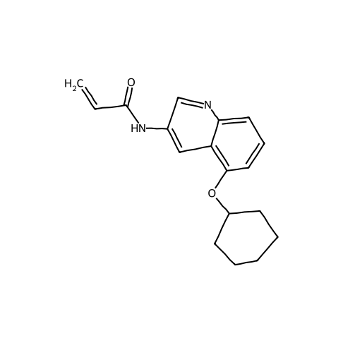 C=CC(=O)Nc1cnc2cccc(OC3CCCCC3)c2c1